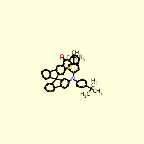 CC(C)(C)c1ccc(N(c2ccc(C(C)(C)C)cc2)c2ccc3c(c2)C2(c4ccccc4-3)c3ccccc3-c3cc4c(=O)c5ccccc5sc4cc32)cc1